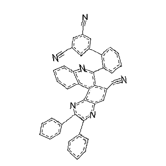 N#Cc1cc(C#N)cc(-c2ccccc2-c2nc3ccccc3c3c2c(C#N)cc2nc(-c4ccccc4)c(-c4ccccc4)nc23)c1